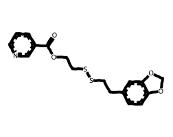 O=C(OCCSSCCc1ccc2c(c1)OCO2)c1cccnc1